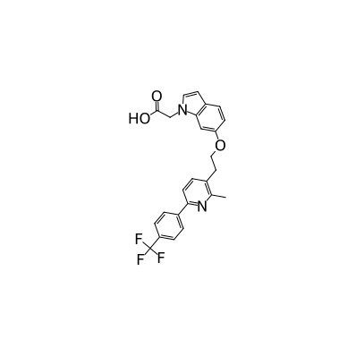 Cc1nc(-c2ccc(C(F)(F)F)cc2)ccc1CCOc1ccc2ccn(CC(=O)O)c2c1